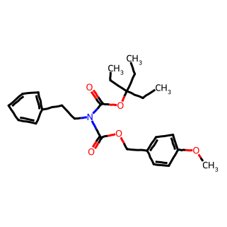 CCC(CC)(CC)OC(=O)N(CCc1ccccc1)C(=O)OCc1ccc(OC)cc1